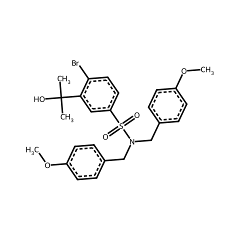 COc1ccc(CN(Cc2ccc(OC)cc2)S(=O)(=O)c2ccc(Br)c(C(C)(C)O)c2)cc1